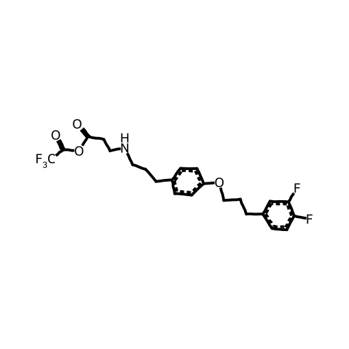 O=C(CCNCCCc1ccc(OCCCc2ccc(F)c(F)c2)cc1)OC(=O)C(F)(F)F